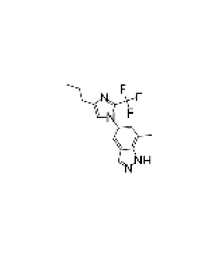 CCCc1cn(-c2cc(C)c3[nH]ncc3c2)c(C(F)(F)F)n1